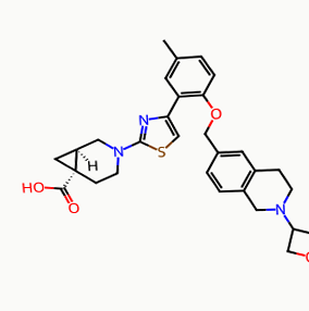 Cc1ccc(OCc2ccc3c(c2)CCN(C2COC2)C3)c(-c2csc(N3CC[C@@]4(C(=O)O)C[C@H]4C3)n2)c1